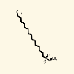 C=CS(=O)(=O)CCCCCCCCCCCCCCCC